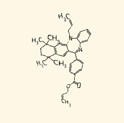 C=CCOC(=O)c1ccc(C2=Nc3ccccc3N(CC=C)c3cc4c(cc32)C(C)(C)CCC4(C)C)cc1